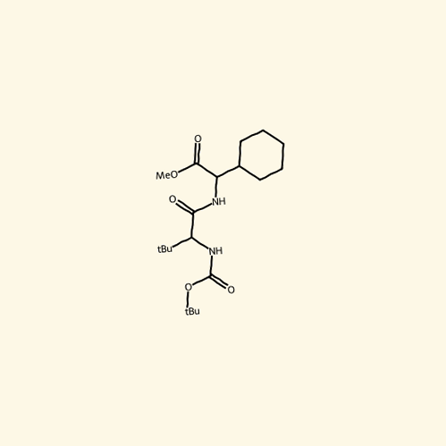 COC(=O)C(NC(=O)C(NC(=O)OC(C)(C)C)C(C)(C)C)C1CCCCC1